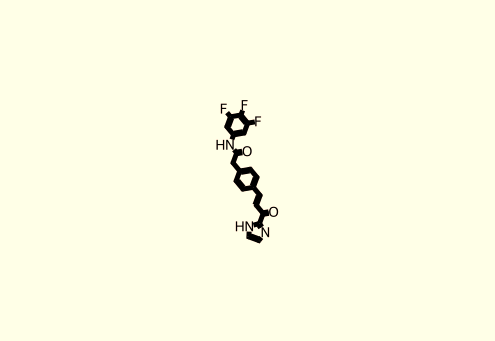 O=C(Cc1ccc(C=CC(=O)c2ncc[nH]2)cc1)Nc1cc(F)c(F)c(F)c1